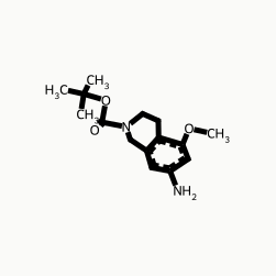 COc1cc(N)cc2c1CCN(C(=O)OC(C)(C)C)C2